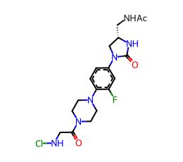 CC(=O)NC[C@H]1CN(c2ccc(N3CCN(C(=O)CNCl)CC3)c(F)c2)C(=O)N1